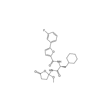 COC1(NC(=O)[C@H](CC2CCCCC2)NC(=O)c2ccc(-c3cccc(F)c3)o2)CCC(=O)O1